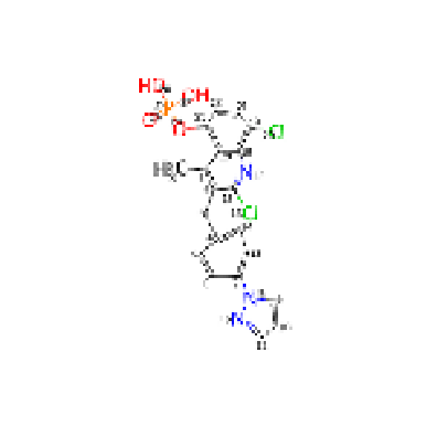 Cc1c(Cc2ccc(-n3cccn3)cc2)c(Cl)nc2c(Cl)ccc(OP(=O)(O)O)c12